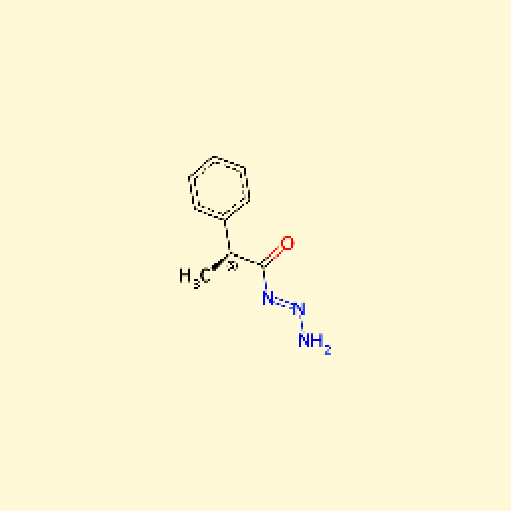 C[C@H](C(=O)N=NN)c1ccccc1